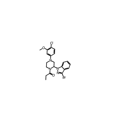 CCC(=O)N1CCN(c2ccc(Cl)c(OC)c2)CC1n1nc(Br)c2ccccc21